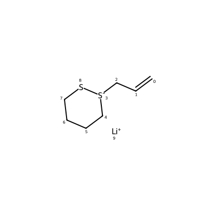 C=CC[S-]1CCCCS1.[Li+]